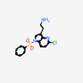 NCCc1cn(S(=O)(=O)c2ccccc2)c2ccc(Cl)nc12